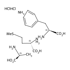 CSCC[C@H](N)C(=O)O.C[C@H](N)C(=O)O.Cl.Cl.N.N[C@@H](Cc1ccccc1)C(=O)O